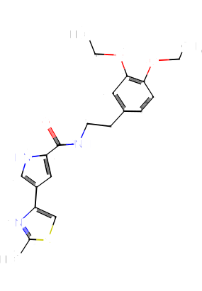 CCOc1ccc(CCNC(=O)c2cc(-c3csc(C)n3)c[nH]2)cc1OCC